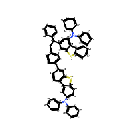 c1ccc(C(Cc2ccc(-c3ccc4c(c3)sc3ccc(N(c5ccccc5)c5ccccc5)cc34)cc2)c2cc(N(c3ccccc3)c3ccccc3)c3c(c2)sc2ccccc23)cc1